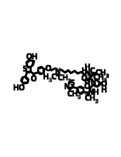 Cc1ncsc1-c1ccc([C@H](C)NC(=O)[C@@H]2C[C@@H](O)CN2C(=O)[C@@H](NC(=O)CCCCCCCN(CCOc2ccc(C(=O)c3c(-c4ccc(O)cc4)sc4cc(O)ccc34)cc2)C(C)C)C(C)(C)C)cc1